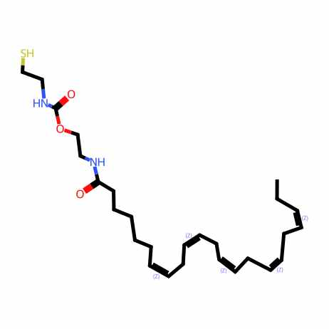 CC/C=C\C/C=C\C/C=C\C/C=C\C/C=C\CCCCCC(=O)NCCOC(=O)NCCS